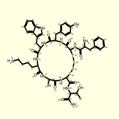 CC(C)C1NC(=O)C(CCCCN)NC(=O)C(Cc2c[nH]c3ccccc23)NC(=O)C(Cc2ccc(O)cc2)NC(=O)C(NC(=O)C(N)Cc2ccccc2)CSSCC(C(=O)NC(C(N)=O)C(C)O)NC1=O